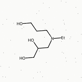 CCN(CCCO)CC(O)CO